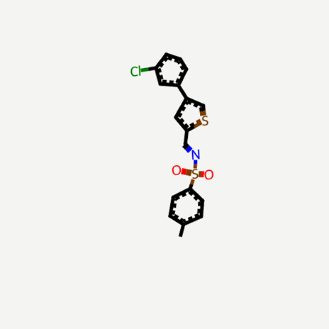 Cc1ccc(S(=O)(=O)/N=C/c2cc(-c3cccc(Cl)c3)cs2)cc1